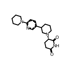 O=C1CC[C@@H](N2CCCC(c3ccc(N4CCCCC4)nc3)C2)C(=O)N1